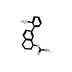 Cc1ccccc1-c1ccc2c(c1)C(OC(N)=O)CCC2